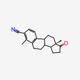 Cc1c(C#N)ccc2c1CCC1C2CC[C@]2(C)C(=O)CCC12